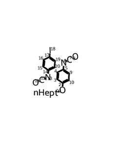 CCCCCCCOc1ccc(N=C=O)cc1.O=C=Nc1ccc(I)cc1